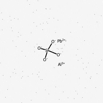 [Al+3].[O-][Si]([O-])([O-])[O-].[Pb+2]